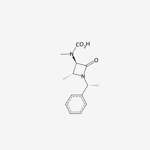 C[C@H](c1ccccc1)N1C(=O)[C@H](N(C)C(=O)O)[C@H]1C